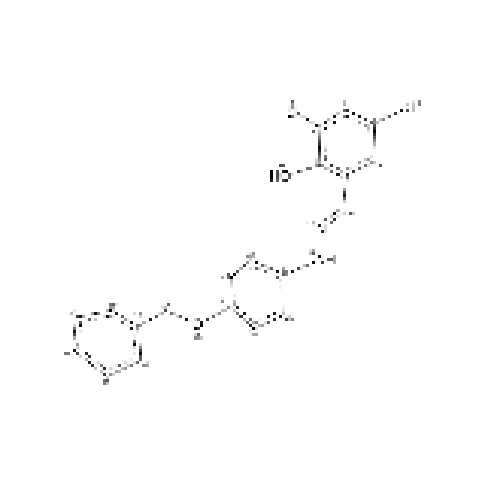 Oc1c(Cl)cc(Cl)cc1/C=N/Nc1ccc(OCc2ccccc2)cc1